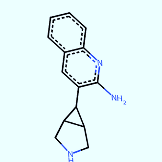 Nc1nc2ccccc2cc1C1C2CNCC21